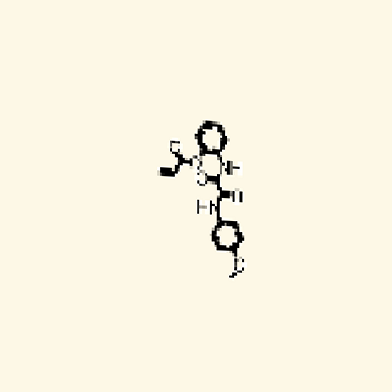 C=CC(=O)Oc1ccccc1NC(=O)C(=O)Nc1ccc(OC)cc1